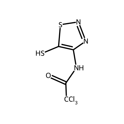 O=C(Nc1nnsc1S)C(Cl)(Cl)Cl